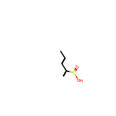 CCCC(C)S(=O)O